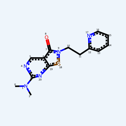 CN(C)c1ncc2c(=O)n(CCc3ccccn3)sc2n1